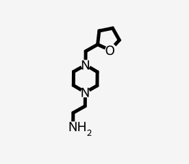 NCCN1CCN(CC2CCCO2)CC1